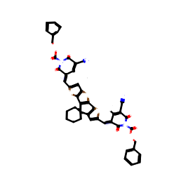 CC1=C(C#N)C(=O)N(C(=O)OCc2ccccc2)C(=O)/C1=C/c1cc2c(s1)-c1sc3cc(/C=C4/C(=O)N(C(=O)OCc5ccccc5)C(=O)C(C#N)=C4C)sc3c1C21CCCCC1